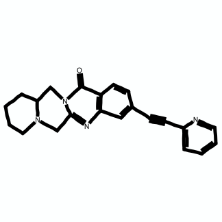 O=c1c2ccc(C#Cc3ccccn3)cc2nc2n1CC1CCCCN1C2